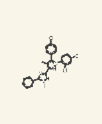 Cc1c(-c2n[nH]c(-c3ccccc3)n2)nn(-c2ccc(Cl)cc2Cl)c1-c1ccc(Cl)cc1